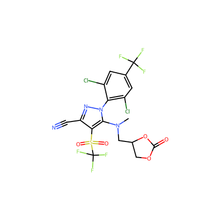 CN(CC1COC(=O)O1)c1c(S(=O)(=O)C(F)(F)F)c(C#N)nn1-c1c(Cl)cc(C(F)(F)F)cc1Cl